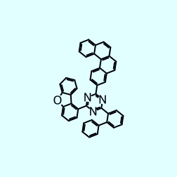 c1ccc(-c2ccccc2-c2nc(-c3ccc4c(ccc5ccc6ccccc6c54)c3)nc(-c3cccc4oc5ccccc5c34)n2)cc1